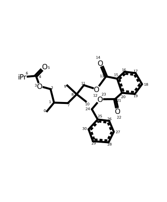 CC(COC(=O)C(C)C)CC(C)(C)COC(=O)c1ccccc1C(=O)OCc1ccccc1